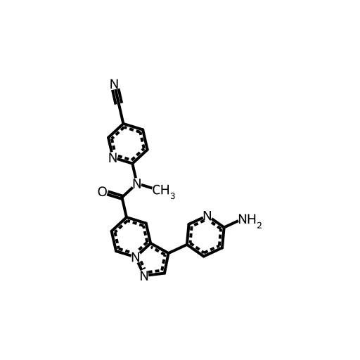 CN(C(=O)c1ccn2ncc(-c3ccc(N)nc3)c2c1)c1ccc(C#N)cn1